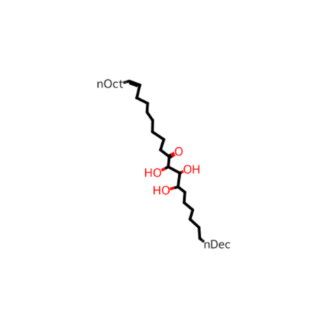 CCCCCCCC/C=C\CCCCCCCC(=O)C(O)C(O)C(O)CCCCCCCCCCCCCCCC